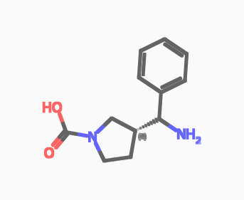 NC(c1ccccc1)[C@@H]1CCN(C(=O)O)C1